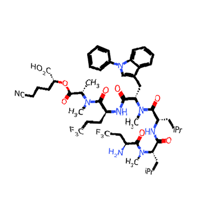 CC(C)C[C@H](NC(=O)[C@H](CC(C)C)N(C)C(=O)[C@@H](N)CC(F)(F)F)C(=O)N(C)[C@@H](Cc1cn(-c2ccccc2)c2ccccc12)C(=O)N[C@@H](CCC(F)(F)F)C(=O)N(C)[C@@H](C)C(=O)O[C@H](CCCC#N)C(=O)O